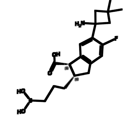 CC1(C)CC(N)(c2cc3c(cc2F)C[C@H](CCCB(O)O)[C@@H]3C(=O)O)C1